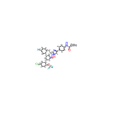 COC(=O)Nc1ccc(-c2c[nH]c(C(Cc3ccc(F)cc3)c3ccc(-c4cc(Cl)ccc4OC(F)F)c[n+]3O)n2)cc1